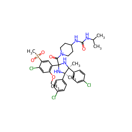 CCOc1cc(Cl)c(S(C)(=O)=O)cc1C1(C(=O)N2CCC(NC(=O)NC(C)C)CC2)N[C@@](C)(c2ccc(Cl)cc2)[C@@](C)(c2ccc(Cl)cc2)N1